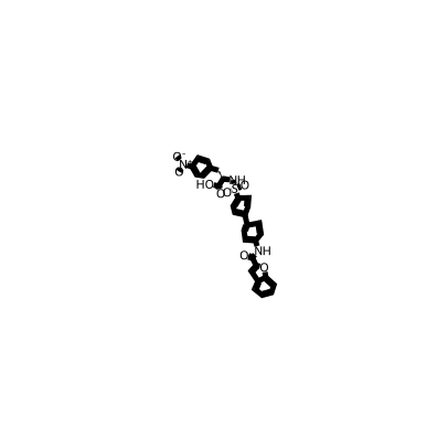 O=C(Nc1ccc(-c2ccc(S(=O)(=O)N[C@@H](Cc3ccc([N+](=O)[O-])cc3)C(=O)O)cc2)cc1)c1cc2ccccc2o1